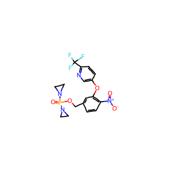 O=[N+]([O-])c1ccc(COP(=O)(N2CC2)N2CC2)cc1Oc1ccc(C(F)(F)F)nc1